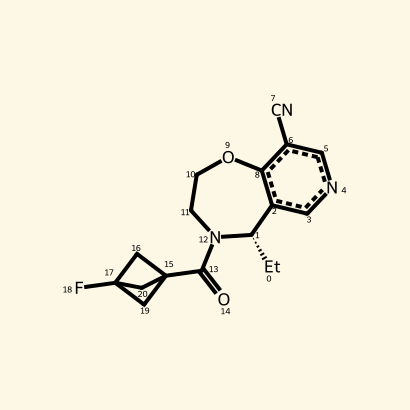 CC[C@H]1c2cncc(C#N)c2OCCN1C(=O)C12CC(F)(C1)C2